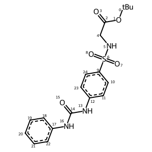 CC(C)(C)OC(=O)CNS(=O)(=O)c1ccc(NC(=O)Nc2ccccc2)cc1